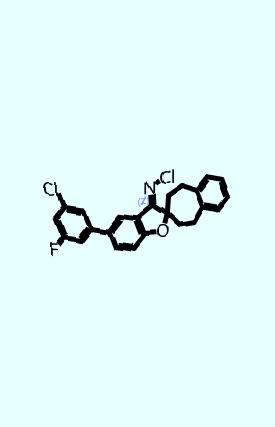 Fc1cc(Cl)cc(-c2ccc3c(c2)/C(=N/Cl)C2(CCc4ccccc4CC2)O3)c1